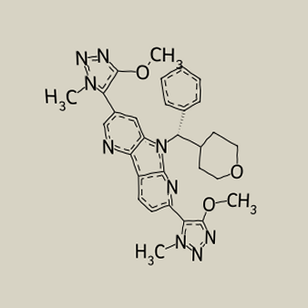 COc1nnn(C)c1-c1cnc2c3ccc(-c4c(OC)nnn4C)nc3n([C@H](c3ccccc3)C3CCOCC3)c2c1